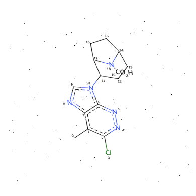 Cc1c(Cl)nnc2c1ncn2C1CCC2CCC1N2C(=O)O